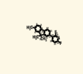 Cc1ccc2c(c1)C(C)(C)c1cc(-c3ccc(F)nc3F)ccc1-2